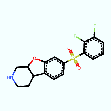 O=S(=O)(c1ccc2c(c1)OC1CNCCC21)c1cccc(F)c1F